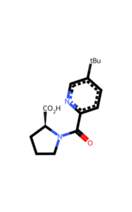 CC(C)(C)c1ccc(C(=O)N2CCC[C@H]2C(=O)O)nc1